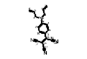 C=CCN(CC=C)c1ccc(C(C#N)=C(C#N)C#N)cc1